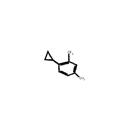 Cc1ccc(C2CC2)c(C(F)(F)F)c1